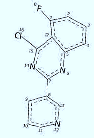 Fc1cccc2nc(-c3cccnc3)nc(Cl)c12